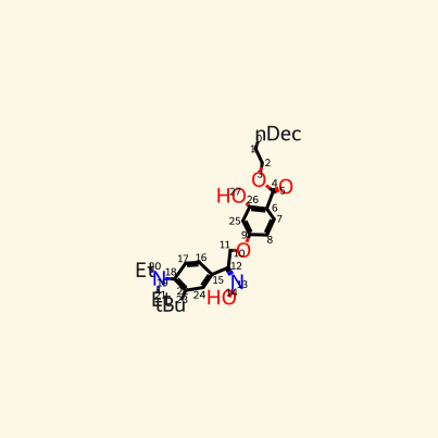 CCCCCCCCCCCCOC(=O)c1ccc(OCC(=NO)c2ccc(N(CC)CC)c(C(C)(C)C)c2)cc1O